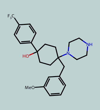 COc1cccc(CC2(N3CCNCC3)CCC(O)(c3ccc(C(F)(F)F)cc3)CC2)c1